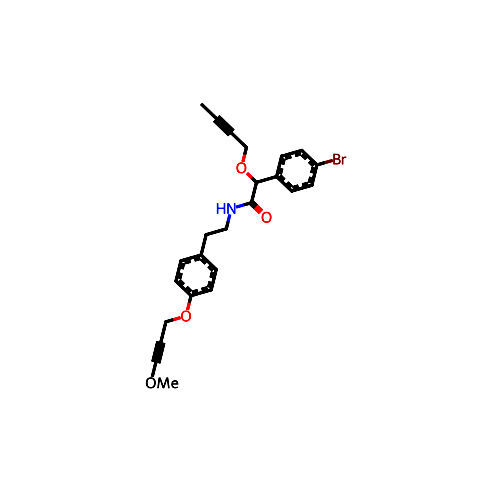 CC#CCOC(C(=O)NCCc1ccc(OCC#COC)cc1)c1ccc(Br)cc1